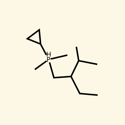 CCC(C[PH](C)(C)C1CC1)C(C)C